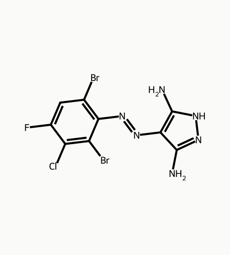 Nc1n[nH]c(N)c1N=Nc1c(Br)cc(F)c(Cl)c1Br